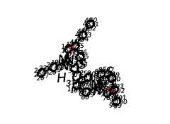 CC1(Cc2ccc(-c3nc(-c4ccccc4)nc(-c4ccc(-c5ccccc5)cc4)n3)c3c2sc2ccc(-c4cccc(-c5ccc(-c6ccccc6)cc5)c4)cc23)c2ccccc2-c2c(-c3cccc(-c4nc(-c5ccccc5)nc(-c5cccc6sc7ccc(-c8ccc(-c9ccccc9)cc8)cc7c56)n4)c3)cccc21